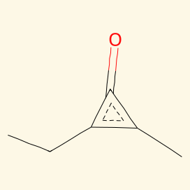 CCc1c(C)c1=O